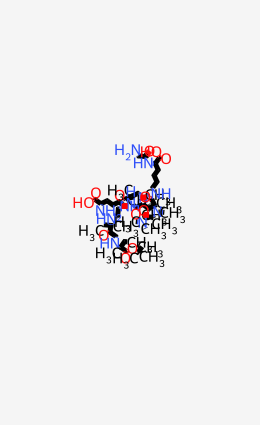 CCC(C)(NCCNC(=O)C(C)(C)CN(C)C(C(=O)NCCCCC(N)C(=O)O)C(C)C(C)(C(=O)NCCCCC(NC(=O)CN)C(=O)O)N(C)C(C)C(=O)N(C)C)C(=O)CNC(C)(CC)C(=O)OC(C)(C)C